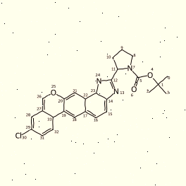 CC(C)(C)OC(=O)N1CCCC1C1=NC2=CC=C3C=C4C(=CC3C2[N]1)OC=C1C=C(Cl)C=CC14